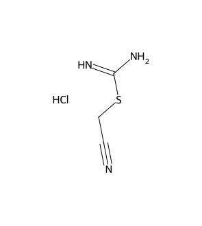 Cl.N#CCSC(=N)N